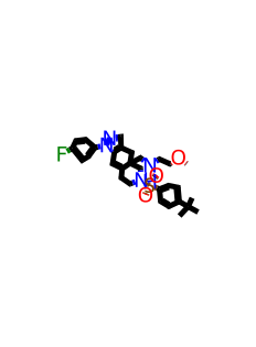 COCCNCC12Cc3cnn(-c4ccc(F)cc4)c3C=C1CCN(S(=O)(=O)c1ccc(C(C)(C)C)cc1)C2